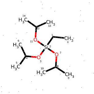 [CH2]C[Si](OC(C)C)(OC(C)C)OC(C)C